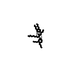 CCCCCCCCC(=Nc1ccc(CCCC)c(CCCC)c1)C(CCCCC)=Nc1ccc(CCCC)c(CCCC)c1